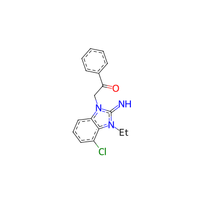 CCn1c(=N)n(CC(=O)c2ccccc2)c2cccc(Cl)c21